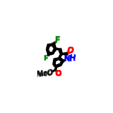 COC(=O)c1ccc2c(c1)NC(=O)/C2=C/c1cc(F)ccc1F